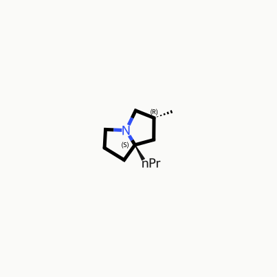 CCC[C@@]12CCCN1C[C@H](C)C2